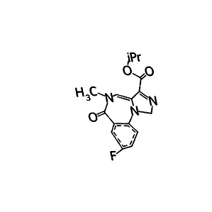 CC(C)OC(=O)C1=NCN2C1=CN(C)C(=O)c1cc(F)ccc12